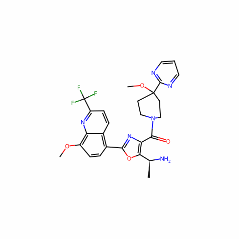 COc1ccc(-c2nc(C(=O)N3CCC(OC)(c4ncccn4)CC3)c([C@H](C)N)o2)c2ccc(C(F)(F)F)nc12